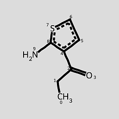 CCC(=O)c1ccsc1N